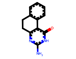 Nc1nc2c(c(=O)[nH]1)-c1ccccc1CC2